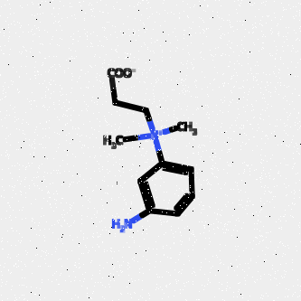 C[N+](C)(CCC(=O)[O-])c1cccc(N)c1